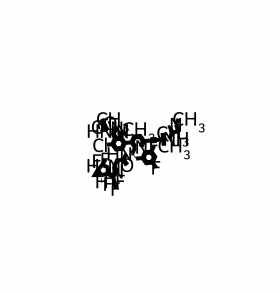 CN1CC(NC(C)(C)C#Cc2ccc(-c3ccc(Cl)c4c(NS(C)(=O)=O)nn(C)c34)c([C@H](Cc3cc(F)cc(F)c3)NC(=O)Cn3nc(C(F)(F)F)c4c3C(F)(F)[C@@H]3C[C@H]43)n2)C1